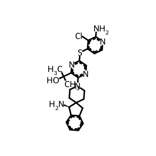 CC(C)(O)c1nc(Sc2ccnc(N)c2Cl)cnc1N1CCC2(CC1)Cc1ccccc1[C@H]2N